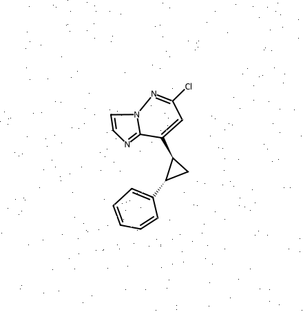 Clc1cc([C@H]2C[C@@H]2c2ccccc2)c2nccn2n1